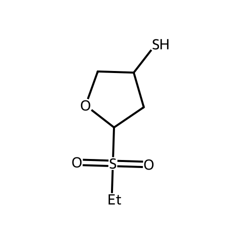 CCS(=O)(=O)C1CC(S)CO1